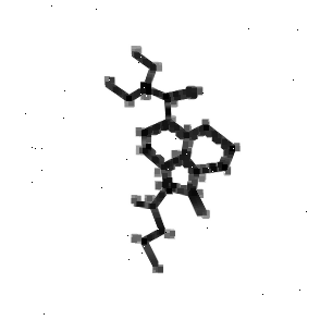 C=c1c2cccc3c(C(=O)N(CC)CC)ccc(c32)n1C(C)CCC